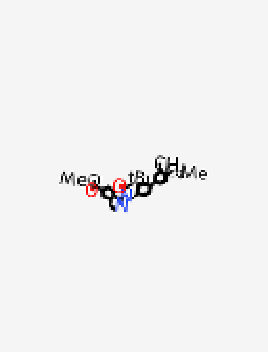 COC(=O)c1ccc2c(N(Cc3ccc(-c4ccc(OC)c(C)c4)cc3)C(=O)CC(C)(C)C)nccc2c1